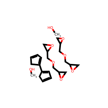 C(OCC1CO1)C1CO1.C(OCC1CO1)C1CO1.C1=CCC(C2=CC=CC2)=C1.CO.CO